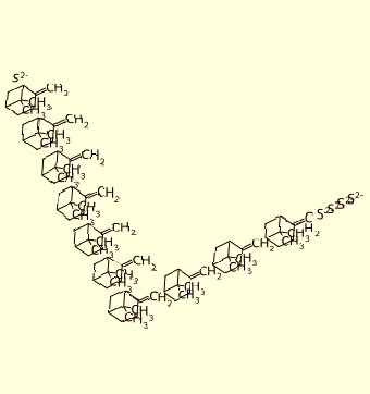 C=C1CCC2CC1C2(C)C.C=C1CCC2CC1C2(C)C.C=C1CCC2CC1C2(C)C.C=C1CCC2CC1C2(C)C.C=C1CCC2CC1C2(C)C.C=C1CCC2CC1C2(C)C.C=C1CCC2CC1C2(C)C.C=C1CCC2CC1C2(C)C.C=C1CCC2CC1C2(C)C.C=C1CCC2CC1C2(C)C.[S-2].[S-2].[S-2].[S-2].[S-2]